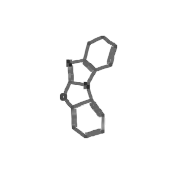 C1=Cc2c(nc3oc4ccccc4n23)CC1